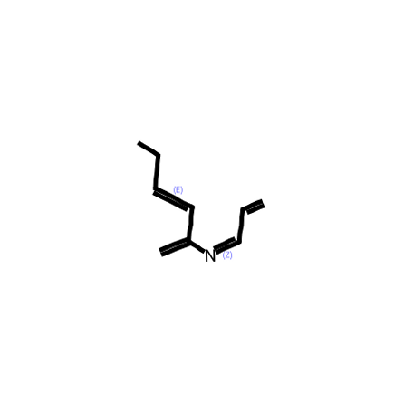 C=C/C=N\C(=C)/C=C/CC